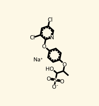 CC(Oc1ccc(Oc2ncc(Cl)cc2Cl)cc1)C(O)S(=O)(=O)[O-].[Na+]